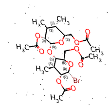 CC(=O)OC[C@H]1O[C@H](O[C@H]2[C@H](C)[C@@H](OC(C)=O)[C@@H](Br)O[C@@H]2COC(C)=O)[C@H](OC(C)=O)[C@@H](C)[C@@H]1C